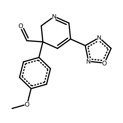 COc1ccc(C2(C=O)C=C(c3ncon3)C=NC2)cc1